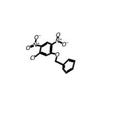 O=[N+]([O-])c1cc([N+](=O)[O-])c(OCc2ccccc2)cc1Cl